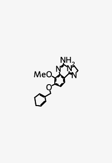 COc1c(OCC2=CCCC=C2)ccc2c1N=C(N)N1CCN=C21